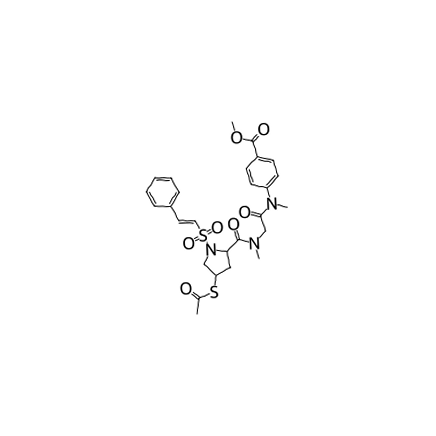 COC(=O)c1ccc(N(C)C(=O)CN(C)C(=O)C2CC(SC(C)=O)CN2S(=O)(=O)C=Cc2ccccc2)cc1